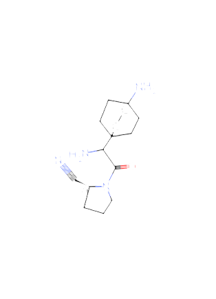 N#C[C@@H]1CCCN1C(=O)C(N)C12CCC(N)(CC1)CC2